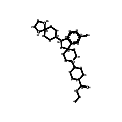 CCOC(=O)N1CCC(N2CCC3(CC2)CN(C2CCC4(CC2)OCCO4)c2ccc(F)cc23)CC1